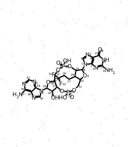 Nc1nc2c(ncn2C2OC3COP(=O)(O)OC4C(COP(=O)(O)OC2C3CCC(F)(F)F)OC(n2cnc3c(N)ncnc32)C4O)c(=O)[nH]1